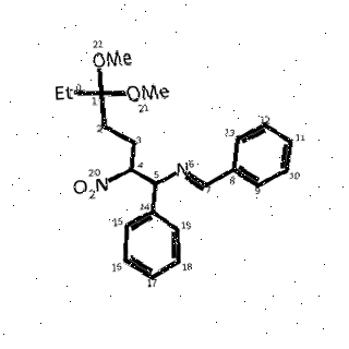 CCC(CCC(C(/N=C/c1ccccc1)c1ccccc1)[N+](=O)[O-])(OC)OC